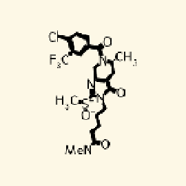 CNC(=O)CCCCn1c([S+](C)[O-])nc2c(c1=O)C[C@@H](C)N(C(=O)c1ccc(Cl)c(C(F)(F)F)c1)C2